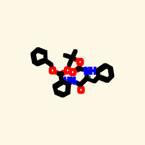 CC(C)(C)OC(=O)N[C@@H](Cc1ccccc1)C(=O)Nc1ccccc1C(=O)OCc1ccccc1